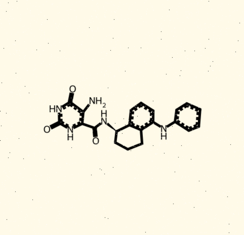 Nc1c(C(=O)N[C@@H]2CCCc3c(Nc4ccccc4)cccc32)[nH]c(=O)[nH]c1=O